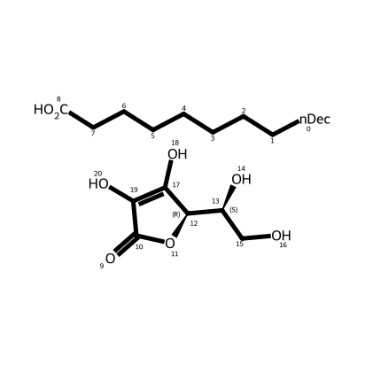 CCCCCCCCCCCCCCCCCC(=O)O.O=C1O[C@H]([C@@H](O)CO)C(O)=C1O